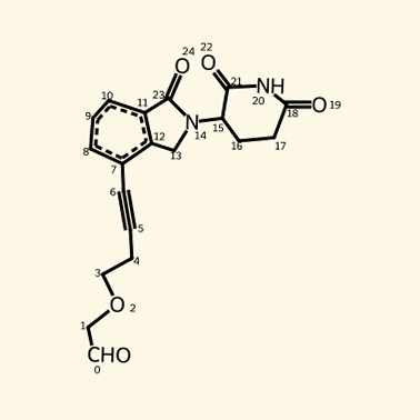 O=CCOCCC#Cc1cccc2c1CN(C1CCC(=O)NC1=O)C2=O